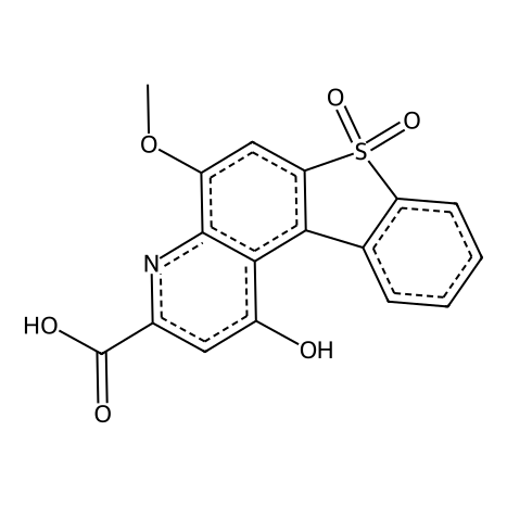 COc1cc2c(c3c(O)cc(C(=O)O)nc13)-c1ccccc1S2(=O)=O